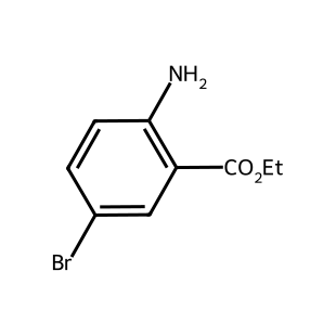 CCOC(=O)c1cc(Br)ccc1N